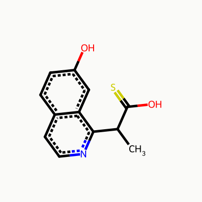 CC(C(O)=S)c1nccc2ccc(O)cc12